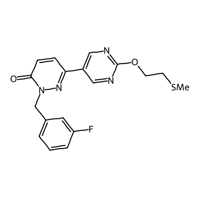 CSCCOc1ncc(-c2ccc(=O)n(Cc3cccc(F)c3)n2)cn1